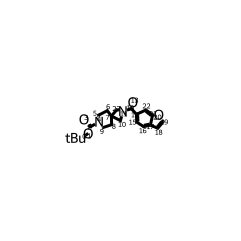 CC(C)(C)OC(=O)N1CCC2(CC1)CN(C(=O)c1ccc3ccoc3c1)C2